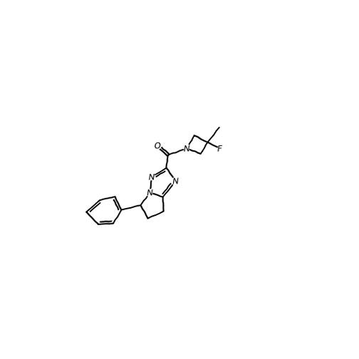 CC1(F)CN(C(=O)c2nc3n(n2)C(c2ccccc2)CC3)C1